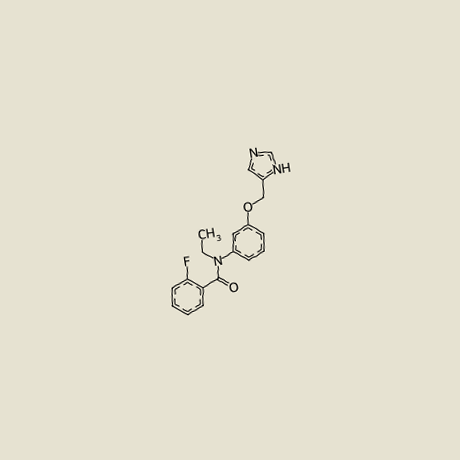 CCN(C(=O)c1ccccc1F)c1cccc(OCc2cnc[nH]2)c1